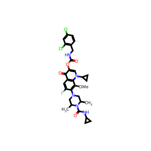 COc1c(N2CC(C)N(C(=O)NC3CC3)C(C)C2)c(F)cc2c(=O)c(OC(=O)NCc3ccc(Cl)cc3Cl)cn(C3CC3)c12